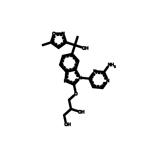 Cc1cc(C(C)(O)c2ccc3nc(OCC(O)CO)n(-c4ccnc(N)n4)c3c2)no1